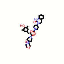 Cc1cc(C[C@@H](OC(=O)N2CCC(N3CCc4ccccc4NC3=O)CC2)C(=O)N2CCC([N+]3([O-])CCOCC3)CC2)cc(C)c1O